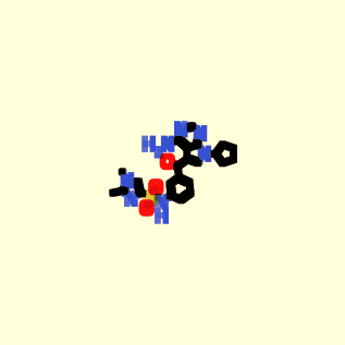 Cc1nc(S(=O)(=O)Nc2cccc(C(=O)c3cn(C4CCCC4)c4ncnc(N)c34)c2)cn1C